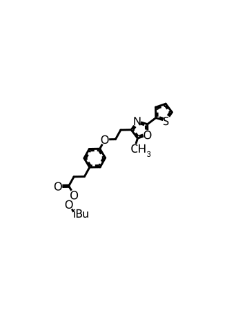 CCC(C)OOC(=O)CCc1ccc(OCCc2nc(-c3cccs3)oc2C)cc1